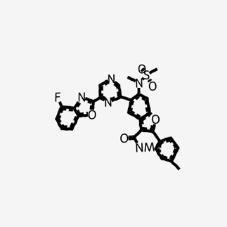 CNC(=O)c1c(-c2ccc(C)cc2)oc2cc(N(C)S(C)(=O)=O)c(-c3cncc(-c4nc5c(F)cccc5o4)n3)cc12